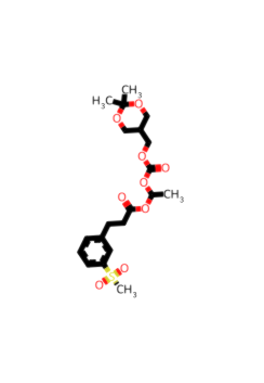 CC(OC(=O)CCc1cccc(S(C)(=O)=O)c1)OC(=O)OCC1COC(C)(C)OC1